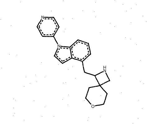 c1cc(CC2NCC23CCOCC3)c2ccn(-c3ccncc3)c2c1